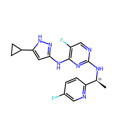 C[C@H](Nc1ncc(F)c(Nc2cc(C3CC3)[nH]n2)n1)c1ccc(F)cn1